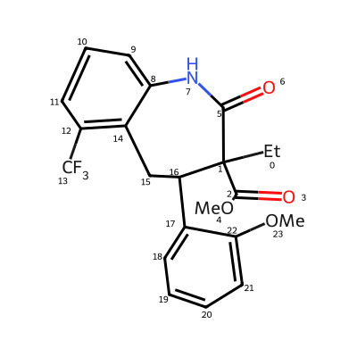 CCC1(C(=O)OC)C(=O)Nc2cccc(C(F)(F)F)c2CC1c1ccccc1OC